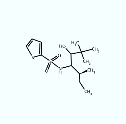 CC[C@H](C)C(NS(=O)(=O)c1cccs1)C(O)C(C)(C)C